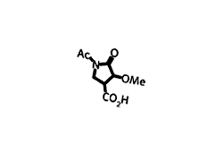 COC1C(=O)N(C(C)=O)CC1C(=O)O